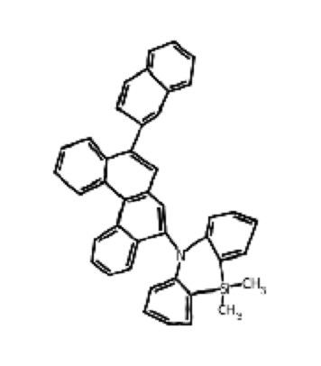 C[Si]1(C)c2ccccc2N(c2cc3cc(-c4ccc5ccccc5c4)c4ccccc4c3c3ccccc23)c2ccccc21